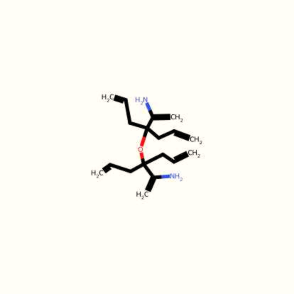 C=CCC(CC=C)(OC(CC=C)(CC=C)C(=C)N)C(=C)N